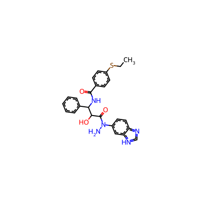 CCSc1ccc(C(=O)NC(c2ccccc2)C(O)C(=O)N(N)c2ccc3nc[nH]c3c2)cc1